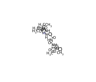 COC(=O)[C@H](CNC(=O)CNC(=O)c1cccc(N/C(=N/C(=O)OC(C)(C)C)NC(=O)OC(C)(C)C)c1)NC(=O)c1c(C)cccc1Cl